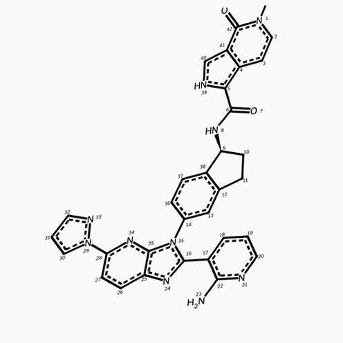 Cn1ccc2c(C(=O)N[C@H]3CCc4cc(-n5c(-c6cccnc6N)nc6ccc(-n7cccn7)nc65)ccc43)[nH]cc2c1=O